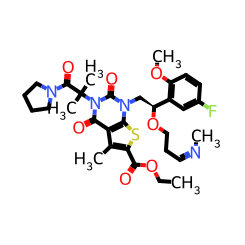 CCOC(=O)c1sc2c(c1C)c(=O)n(C(C)(C)C(=O)N1CCCC1)c(=O)n2C[C@H](OCC/C=N\C)c1cc(F)ccc1OC